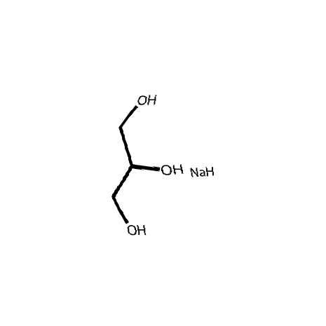 OCC(O)CO.[NaH]